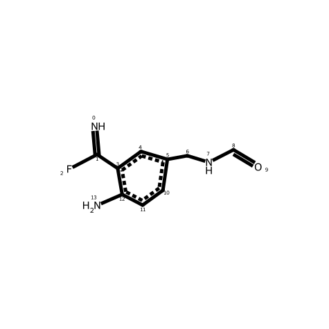 N=C(F)c1cc(CNC=O)ccc1N